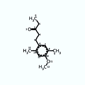 CCC(=O)CCc1cc(C)c(OC)cc1C